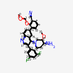 COCOc1c(C#N)cccc1-c1ccc2ncc(-c3cc(F)cc(F)c3)c(N3CCC(N)C(OC)C3)c2c1